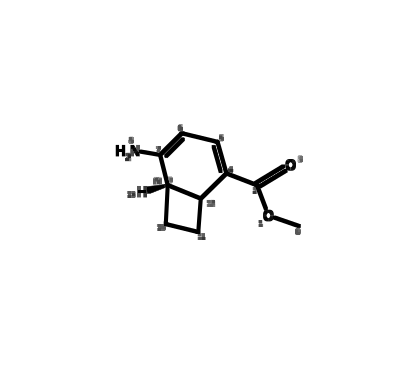 COC(=O)C1=CC=C(N)[C@H]2CCC12